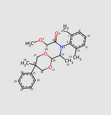 COCC(=O)N(c1c(C)cccc1C)C(C)C1OCC(C)(c2ccccc2)CO1